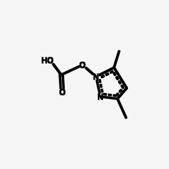 Cc1cc(C)n(OC(=O)O)n1